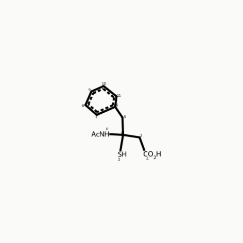 CC(=O)NC(S)(CC(=O)O)Cc1ccccc1